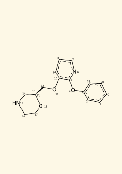 c1ccc(Oc2ncccc2OC[C@@H]2CNCCO2)cc1